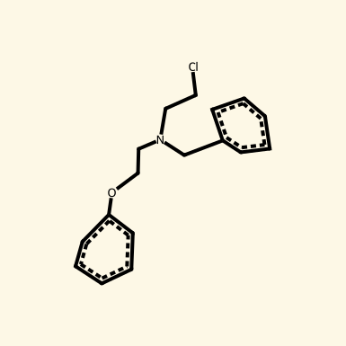 ClCCN(CCOc1ccccc1)Cc1ccccc1